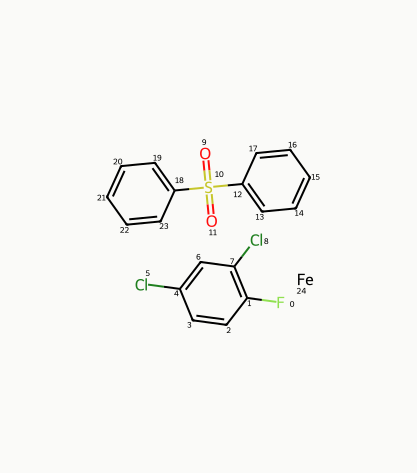 Fc1ccc(Cl)cc1Cl.O=S(=O)(c1ccccc1)c1ccccc1.[Fe]